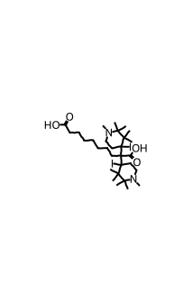 CN1CCC(I)(C(CCCCCCCC(=O)O)(C(=O)O)C2(I)CCN(C)C(C)(C)C2(C)C)C(C)(C)C1(C)C